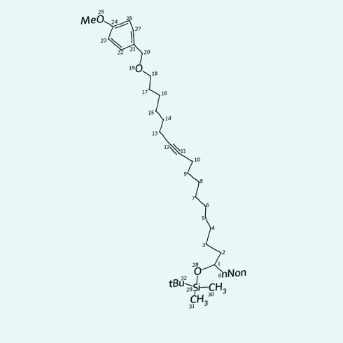 CCCCCCCCCC(CCCCCCCCCC#CCCCCCCOCc1ccc(OC)cc1)O[Si](C)(C)C(C)(C)C